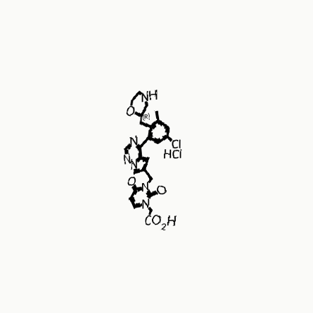 Cc1cc(Cl)cc(-c2ncnn3cc(Cn4c(=O)ccn(CC(=O)O)c4=O)cc23)c1C[C@@H]1CNCCO1.Cl